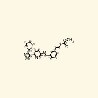 COC(=O)C/C=C/c1cccc(COc2ccc(-c3ccnn3C3CCCCO3)nc2)c1